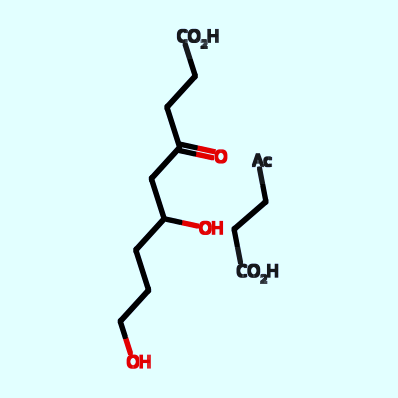 CC(=O)CCC(=O)O.O=C(O)CCC(=O)CC(O)CCCO